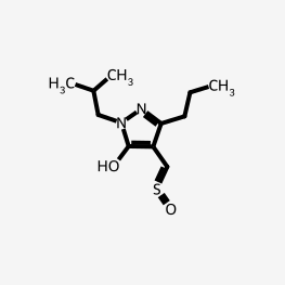 CCCc1nn(CC(C)C)c(O)c1C=S=O